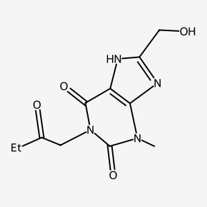 CCC(=O)Cn1c(=O)c2[nH]c(CO)nc2n(C)c1=O